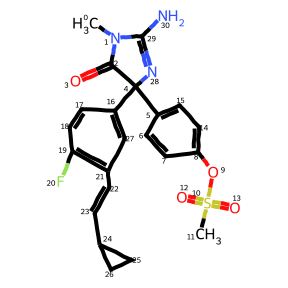 CN1C(=O)C(c2ccc(OS(C)(=O)=O)cc2)(c2ccc(F)c(/C=C/C3CC3)c2)N=C1N